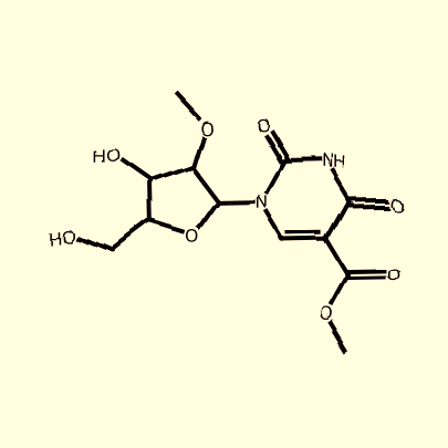 COC(=O)c1cn(C2OC(CO)C(O)C2OC)c(=O)[nH]c1=O